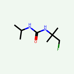 CC(C)NC(=O)NC(C)(C)CF